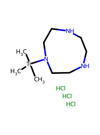 Cl.Cl.Cl.[CH3][Ti]([CH3])([CH3])[N]1CCNCCNCC1